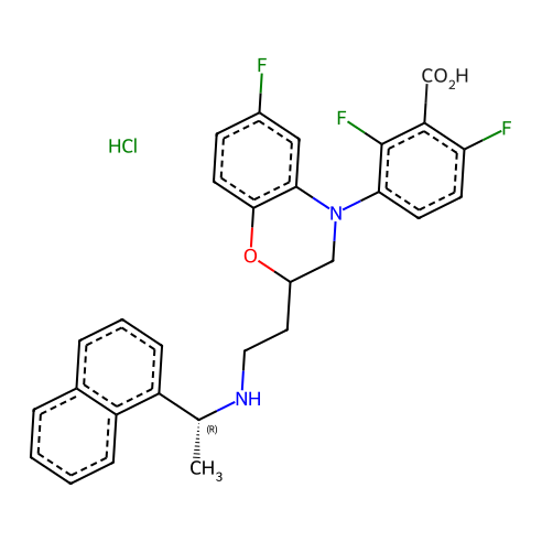 C[C@@H](NCCC1CN(c2ccc(F)c(C(=O)O)c2F)c2cc(F)ccc2O1)c1cccc2ccccc12.Cl